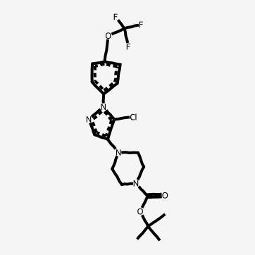 CC(C)(C)OC(=O)N1CCN(c2cnn(-c3ccc(OC(F)(F)F)cc3)c2Cl)CC1